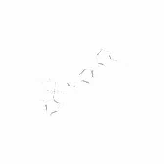 Cc1cc(-c2ccc(NC(=O)NC3(c4ccccn4)CCCC3)cc2)ccn1